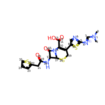 CN(C)/C=N/c1ncc(C2=C(C(=O)O)N3C(=O)C(NC(=O)Cc4cccs4)C3SC2)s1